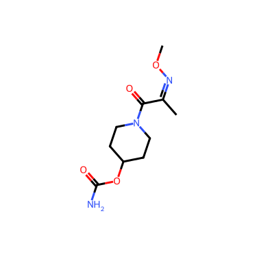 CO/N=C(/C)C(=O)N1CCC(OC(N)=O)CC1